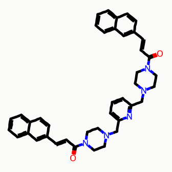 O=C(C=Cc1ccc2ccccc2c1)N1CCN(Cc2cccc(CN3CCN(C(=O)C=Cc4ccc5ccccc5c4)CC3)n2)CC1